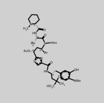 CCCCCCN(C(=O)[C@@H](NC(=O)[C@H]1CCCCN1C)[C@@H](C)CC)[C@H](C[C@@H](OC(C)=O)c1nc(C(=O)N[C@H](Cc2ccc(NC)c(O)c2)CC(C)(C)C(=O)O)cs1)C(C)C